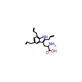 C=CCc1cc(CC=C)c2[nH]c(CC=C)c(CC(N)C(=O)O)c2c1